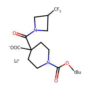 CC(C)(C)OC(=O)N1CCC(C(=O)[O-])(C(=O)N2CC(C(F)(F)F)C2)CC1.[Li+]